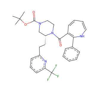 CC(C)(C)OC(=O)N1CCN(C(=O)C2=C(c3ccccc3)NC=CC=C2)[C@H](CCc2cccc(C(F)(F)F)n2)C1